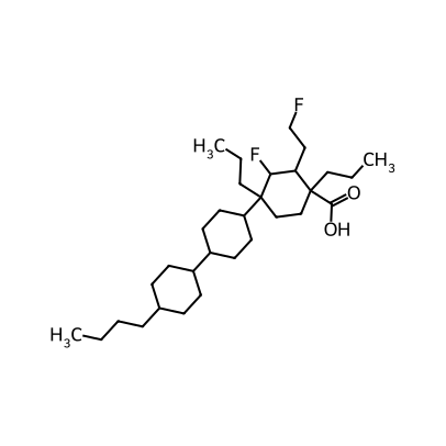 CCCCC1CCC(C2CCC(C3(CCC)CCC(CCC)(C(=O)O)C(CCF)C3F)CC2)CC1